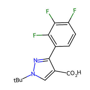 CC(C)(C)n1cc(C(=O)O)c(-c2ccc(F)c(F)c2F)n1